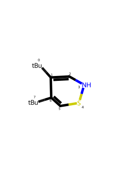 CC(C)(C)C1=CNSC=C1C(C)(C)C